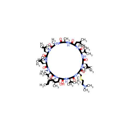 C/C=C/C[C@@H](C)[C@@H](O)[C@@H]1C(=O)N[C@H](C(C)C)C(=O)N(C)[C@H](CSCCN(C)C)C(=O)N(C)[C@@H](CC(C)C)C(=O)N[C@H](C(C)C)C(=O)N(C)C(CC(C)C)C(=O)N[C@H](C)C(=O)N[C@@H](C)C(=O)N(C)[C@H](CC(C)C)C(=O)N(C)[C@H](CC(C)C)C(=O)N(C)[C@H](C(C)C)C(=O)N1C